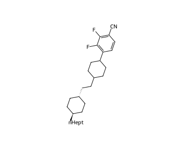 CCCCCCC[C@H]1CC[C@H](CCC2CCC(c3ccc(C#N)c(F)c3F)CC2)CC1